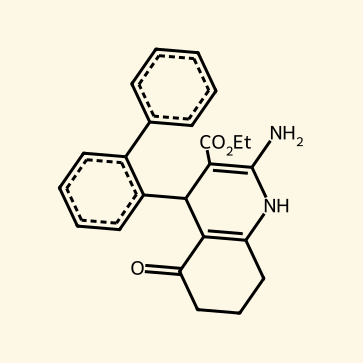 CCOC(=O)C1=C(N)NC2=C(C(=O)CCC2)C1c1ccccc1-c1ccccc1